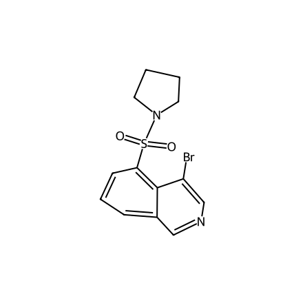 O=S(=O)(c1cccc2cncc(Br)c12)N1CCCC1